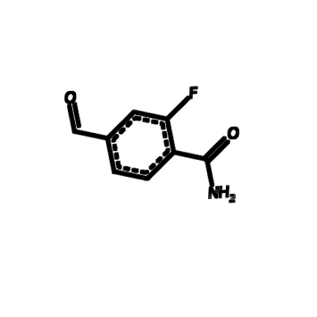 NC(=O)c1ccc(C=O)cc1F